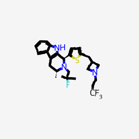 C[C@@H]1Cc2c([nH]c3ccccc23)[C@@H](c2ccc(CC3CN(CCC(F)(F)F)C3)s2)N1CC(C)(C)F